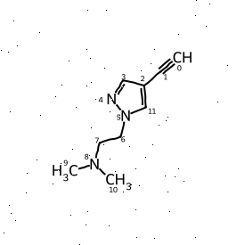 C#Cc1cnn(CCN(C)C)c1